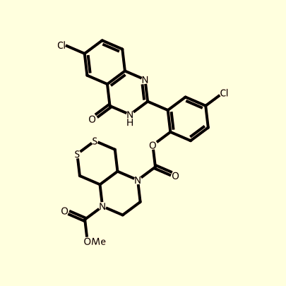 COC(=O)N1CCN(C(=O)Oc2ccc(Cl)cc2-c2nc3ccc(Cl)cc3c(=O)[nH]2)C2CSSCC21